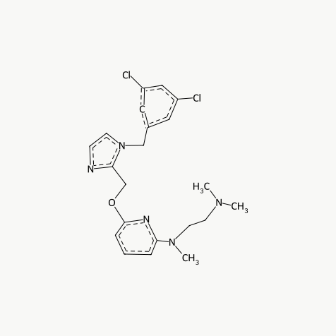 CN(C)CCN(C)c1cccc(OCc2nccn2Cc2cc(Cl)cc(Cl)c2)n1